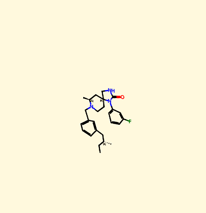 CC[C@@H](C)Cc1cccc(CN2CC[C@]3(CNC(=O)N3c3cccc(F)c3)C[C@@H]2C)c1